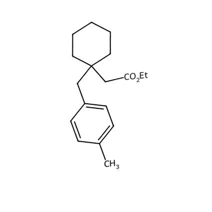 CCOC(=O)CC1(Cc2ccc(C)cc2)CCCCC1